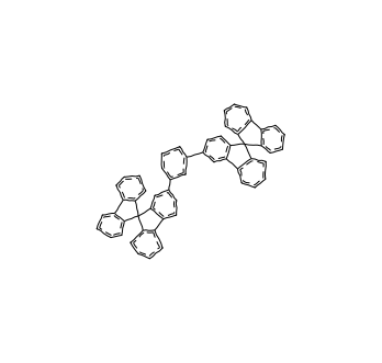 c1cc(-c2ccc3c(c2)-c2ccccc2C32c3ccccc3-c3ccccc32)cc(-c2ccc3c(c2)C2(c4ccccc4-c4ccccc42)c2ccccc2-3)c1